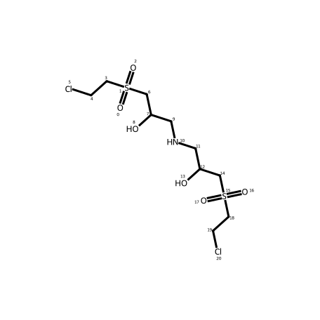 O=S(=O)(CCCl)CC(O)CNCC(O)CS(=O)(=O)CCCl